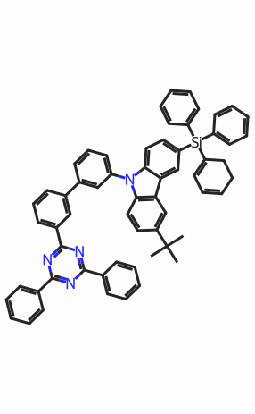 CC(C)(C)c1ccc2c(c1)c1cc([Si](C3=CC=CCC3)(c3ccccc3)c3ccccc3)ccc1n2-c1cccc(-c2cccc(-c3nc(-c4ccccc4)nc(-c4ccccc4)n3)c2)c1